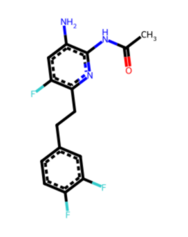 CC(=O)Nc1nc(CCc2ccc(F)c(F)c2)c(F)cc1N